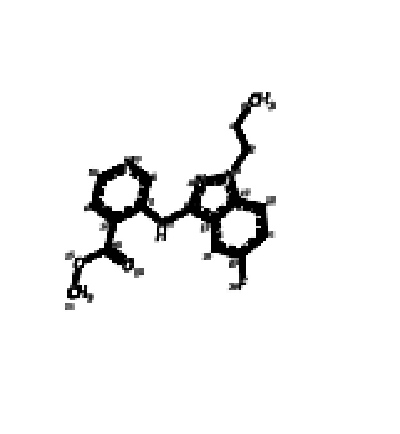 CCCn1nc(Nc2cnccc2C(=O)OC)c2cc(F)ccc21